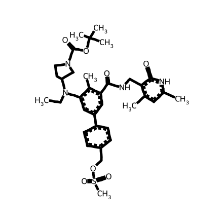 CCN(c1cc(-c2ccc(COS(C)(=O)=O)cc2)cc(C(=O)NCc2c(C)cc(C)[nH]c2=O)c1C)C1CCN(C(=O)OC(C)(C)C)C1